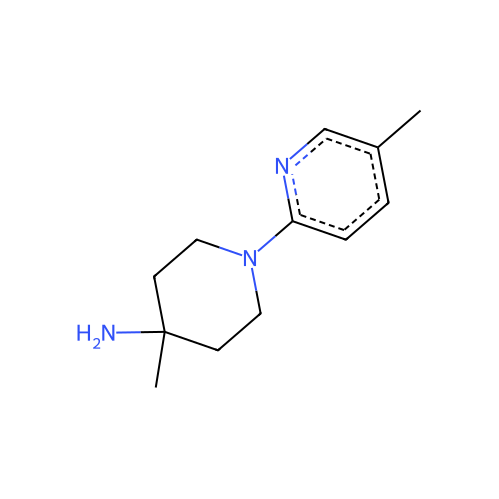 Cc1ccc(N2CCC(C)(N)CC2)nc1